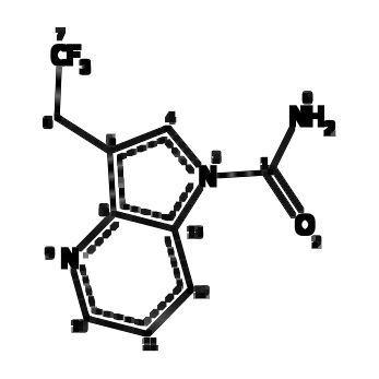 NC(=O)n1cc(CC(F)(F)F)c2ncccc21